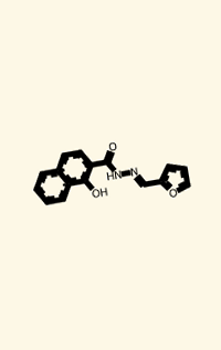 O=C(NN=Cc1ccco1)c1ccc2ccccc2c1O